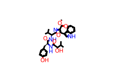 COC(=O)c1nc([C@@H](NC(=O)[C@H](Cc2ccc(O)cc2)NC(=O)[C@@H](O)C(C)C)C(C)C)oc1-c1c[nH]c2ccccc12